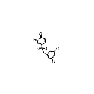 O=c1ccc(S(=O)(=O)Cc2cc(Cl)cc(Cl)c2)n[nH]1